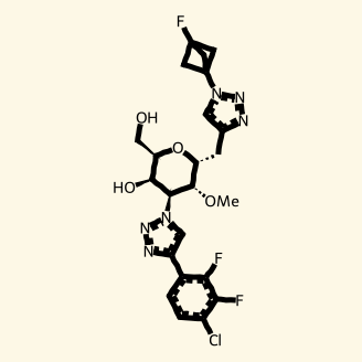 CO[C@@H]1[C@@H](n2cc(-c3ccc(Cl)c(F)c3F)nn2)[C@@H](O)[C@@H](CO)O[C@@H]1Cc1cn(C23CC(F)(C2)C3)nn1